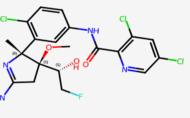 CO[C@@]1([C@H](O)CF)CC(N)=N[C@]1(C)c1cc(NC(=O)c2ncc(Cl)cc2Cl)ccc1Cl